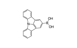 OB(O)c1cc2c3ccccc3n3c4ccccc4c(c1)c23